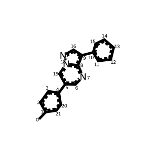 Cc1ccc(-c2cnc3c(-c4ccccc4)cnn3c2)cc1